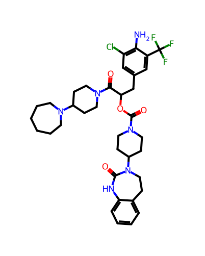 Nc1c(Cl)cc(CC(OC(=O)N2CCC(N3CCc4ccccc4NC3=O)CC2)C(=O)N2CCC(N3CCCCCC3)CC2)cc1C(F)(F)F